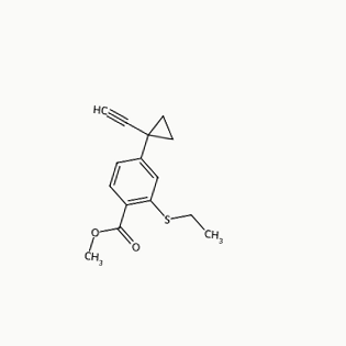 C#CC1(c2ccc(C(=O)OC)c(SCC)c2)CC1